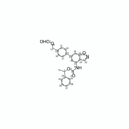 CC(OC(=O)Nc1cc(-c2ccc(COC=O)cc2)cc2oncc12)c1ccccc1